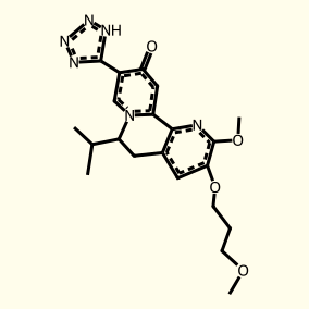 COCCCOc1cc2c(nc1OC)-c1cc(=O)c(-c3nnn[nH]3)cn1C(C(C)C)C2